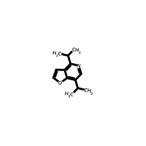 CC(C)c1ncc(C(C)C)c2occc12